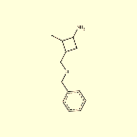 NC1CC(COCc2ccccc2)C1F